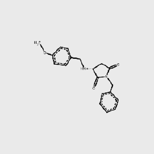 COc1ccc(CN[C@@H]2CC(=O)N(Cc3ccccc3)C2=O)cc1